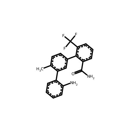 Cc1ccc(-c2c(C(N)=O)cccc2C(F)(F)F)cc1-c1ccccc1N